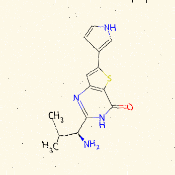 CC(C)[C@H](N)c1nc2cc(-c3cc[nH]c3)sc2c(=O)[nH]1